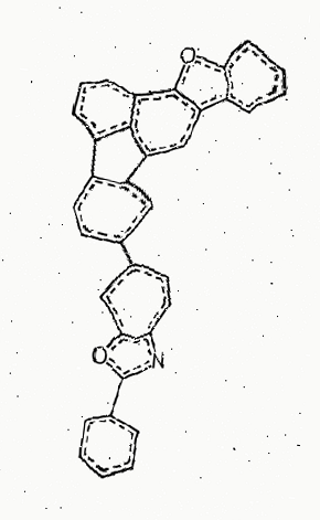 c1ccc(-c2nc3ccc(-c4ccc5c(c4)-c4cc6c7ccccc7oc6c6cccc-5c46)cc3o2)cc1